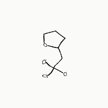 ClC(Cl)(Cl)CC1CCCO1